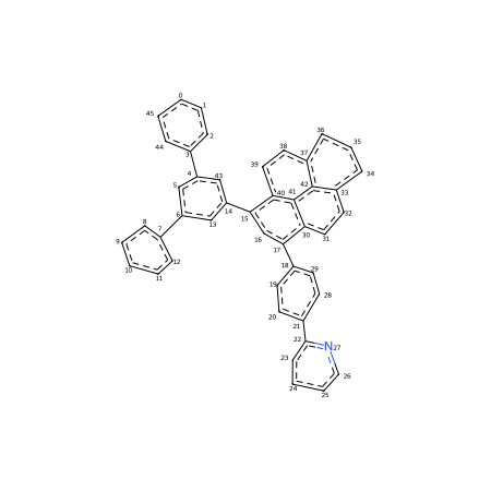 c1ccc(-c2cc(-c3ccccc3)cc(-c3cc(-c4ccc(-c5ccccn5)cc4)c4ccc5cccc6ccc3c4c56)c2)cc1